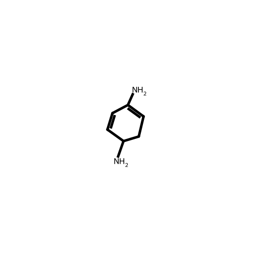 N[C]1C=CC(N)=CC1